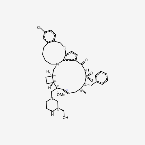 CO[C@@]1(CN2CCN[C@H](CO)C2)/C=C/C[C@H](C)[C@@H](Cc2ccccc2)S(=O)(=O)NC(=O)c2ccc3c(c2)N(CCCCc2cc(Cl)ccc2CO3)C[C@@H]2CC[C@H]21